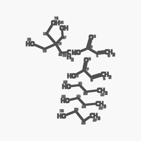 C=CC(=O)O.C=CC(=O)O.CCC(CO)(CO)CO.CCCO.CCCO.CCCO